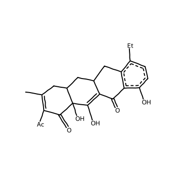 CCc1ccc(O)c2c1CC1CC3CC(C)=C(C(C)=O)C(=O)C3(O)C(O)=C1C2=O